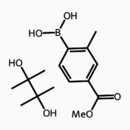 CC(C)(O)C(C)(C)O.COC(=O)c1ccc(B(O)O)c(C)c1